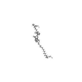 CCCCCCCCCCCCCCCC(=O)NC(CCC(=O)NCCCCCCC(N)C=O)C(=O)O